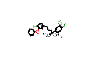 C#CC(C)(CCCc1ccc(F)c(Oc2ccccc2)c1)c1ccc(Cl)c(Cl)c1